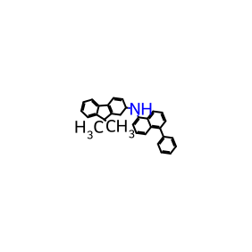 CC1(C)C2=C(C=CC(Nc3cccc4c(-c5ccccc5)cccc34)C2)c2ccccc21